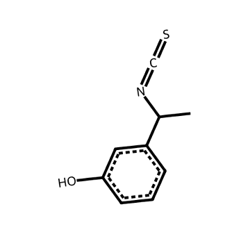 CC(N=C=S)c1cccc(O)c1